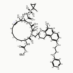 CC(C)(C)OC(=O)N[C@H]1CCCCC/C=C\[C@@H]2P[C@@]2(C(=O)NS(=O)(=O)C2(C)CC2)NC(=O)[C@@H]2C[C@]3(CCc4c(c(C(F)(F)F)nc5ccc(OCCOc6ccncc6)cc45)O3)CN2C1=O